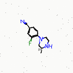 C[C@H]1CN(c2ccc(C#N)cc2F)CCN1